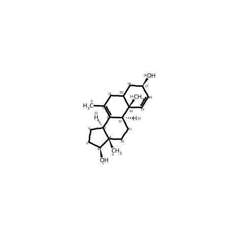 CC1=C2[C@@H]3CC[C@H](O)[C@@]3(C)CC[C@@H]2[C@@]2(C)C=C[C@H](O)CC2C1